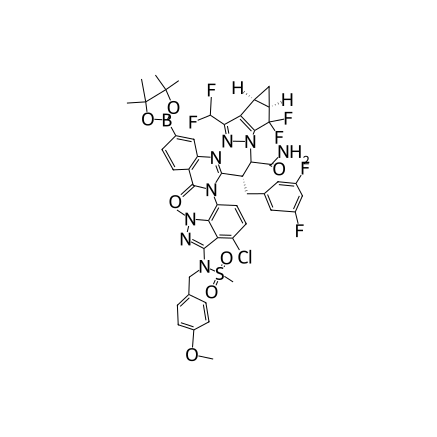 COc1ccc(CN(c2nn(C)c3c(-n4c([C@@H](Cc5cc(F)cc(F)c5)C(C(N)=O)n5nc(C(F)F)c6c5C(F)(F)[C@@H]5C[C@H]65)nc5cc(B6OC(C)(C)C(C)(C)O6)ccc5c4=O)ccc(Cl)c23)S(C)(=O)=O)cc1